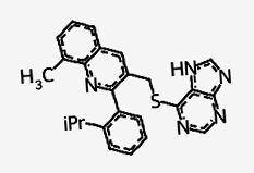 Cc1cccc2cc(CSc3ncnc4nc[nH]c34)c(-c3ccccc3C(C)C)nc12